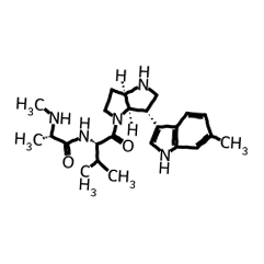 CN[C@@H](C)C(=O)N[C@H](C(=O)N1CC[C@H]2NC[C@H](c3c[nH]c4cc(C)ccc34)[C@H]21)C(C)C